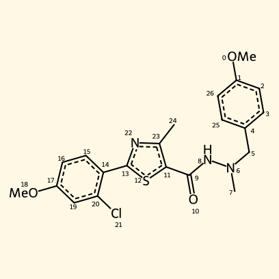 COc1ccc(CN(C)NC(=O)c2sc(-c3ccc(OC)cc3Cl)nc2C)cc1